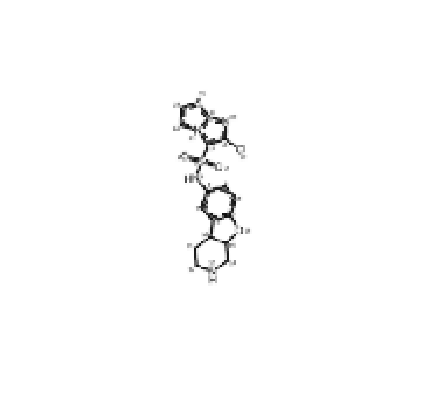 O=S(=O)(Nc1ccc2c(c1)C1CCNCC1O2)c1c(Cl)nc2sccn12